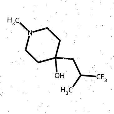 CC(CC1(O)CCN(C)CC1)C(F)(F)F